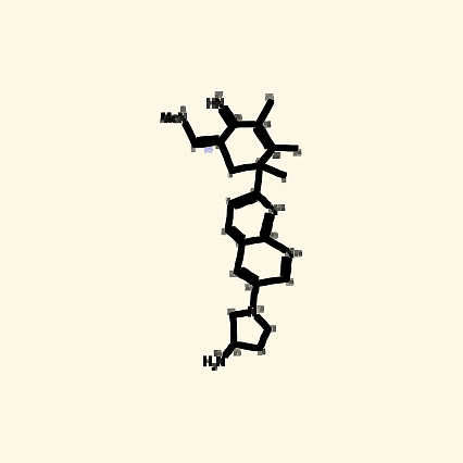 CN/C=C1/CC(C)(c2ccc3cc(N4CCC(N)C4)cnc3n2)C(C)=C(C)C1=N